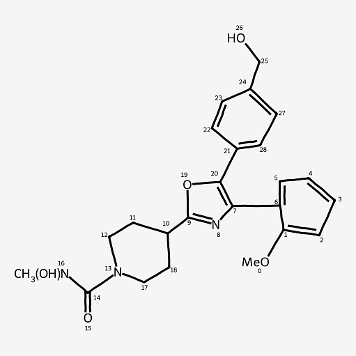 COc1ccccc1-c1nc(C2CCN(C(=O)N(C)O)CC2)oc1-c1ccc(CO)cc1